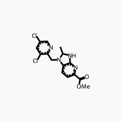 COC(=O)c1ccc2c(n1)NC(C)N2Cc1ncc(Cl)cc1Cl